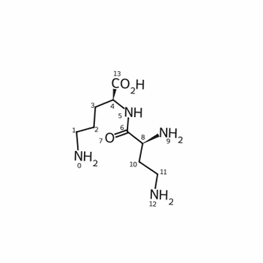 NCCC[C@H](NC(=O)[C@@H](N)CCN)C(=O)O